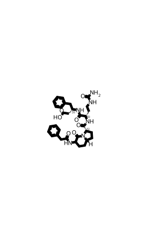 NC(=O)NCC[C@H](NC(=O)[C@@H]1CC[C@@H]2CCC(NC(=O)Cc3ccccc3)C(=O)N21)C(=O)N[C@H](CC(=O)O)Cc1ccccc1